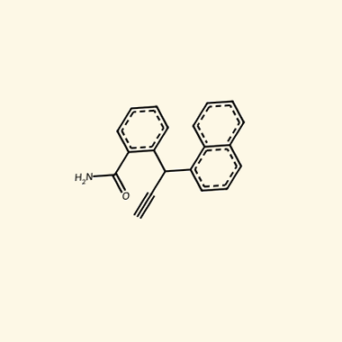 C#CC(c1ccccc1C(N)=O)c1cccc2ccccc12